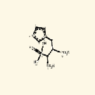 O=C(O)C(Cn1ccnc1)C(C(=O)O)P(=O)(O)O